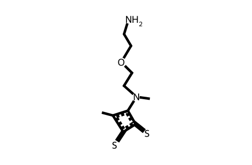 Cc1c(N(C)CCOCCN)c(=S)c1=S